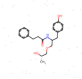 C[C@H](O)COCC(Cc1ccc(O)cc1)NC(=O)CCc1ccccc1